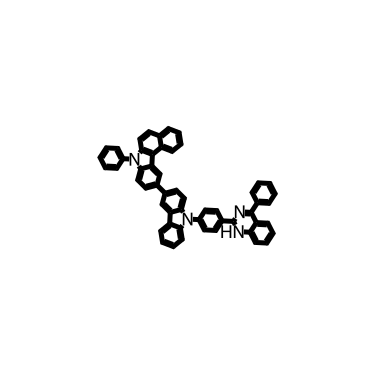 c1ccc(C2=NC(c3ccc(-n4c5ccccc5c5cc(-c6ccc7c(c6)c6c8ccccc8ccc6n7-c6ccccc6)ccc54)cc3)Nc3ccccc32)cc1